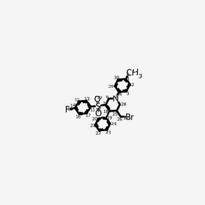 Cc1ccc(N2CC(S(=O)(=O)c3ccc(F)cc3)=C(c3ccccc3)C(CBr)C2)cc1